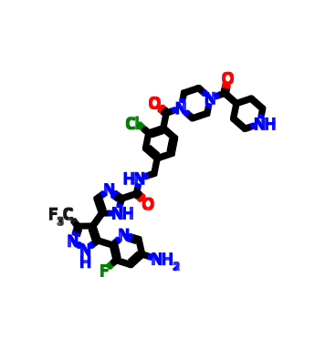 Nc1cnc(-c2[nH]nc(C(F)(F)F)c2-c2cnc(C(=O)NCc3ccc(C(=O)N4CCN(C(=O)C5CCNCC5)CC4)c(Cl)c3)[nH]2)c(F)c1